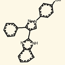 CC(C)(C)c1ccc(-n2cc(-c3nc4ccccc4[nH]3)c(-c3ccccc3)n2)cc1